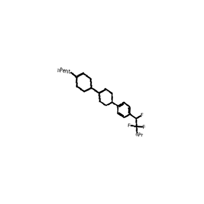 CCCCCC1CCC(C2CCC(c3ccc(C(F)C(F)(F)CCC)cc3)CC2)CC1